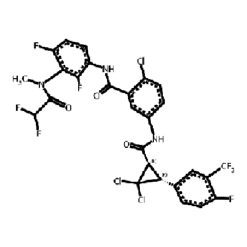 CN(C(=O)C(F)F)c1c(F)ccc(NC(=O)c2cc(NC(=O)[C@H]3[C@H](c4ccc(F)c(C(F)(F)F)c4)C3(Cl)Cl)ccc2Cl)c1F